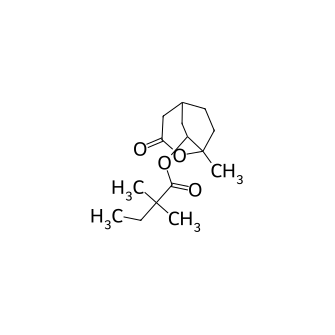 CCC(C)(C)C(=O)OC1CC2CCC1(C)OC(=O)C2